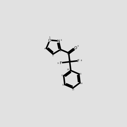 O=C(c1ccon1)C(F)(F)c1ccccc1